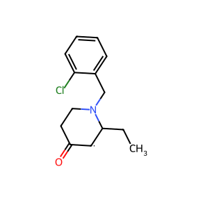 CCC1[CH]C(=O)CCN1Cc1ccccc1Cl